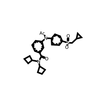 CC(=O)N(c1ccc(S(=O)(=O)CC2CC2)cc1)c1cccc(C(=O)N(C2CCC2)C2CCC2)c1